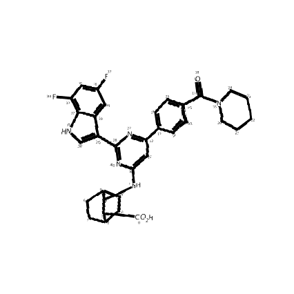 O=C(O)C1C2CCC(CC2)C1Nc1cc(-c2ccc(C(=O)N3CCCCC3)cc2)nc(-c2c[nH]c3c(F)cc(F)cc23)n1